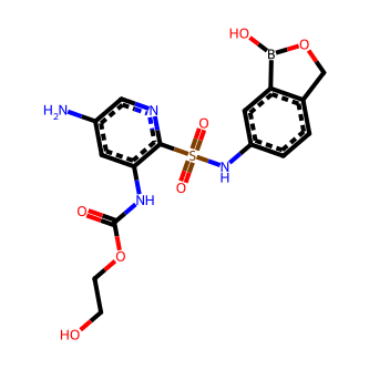 Nc1cnc(S(=O)(=O)Nc2ccc3c(c2)B(O)OC3)c(NC(=O)OCCO)c1